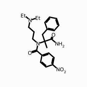 CCN(CC)CCCN(C(=O)c1ccc([N+](=O)[O-])cc1)C(C)(Cc1ccccc1)C(N)=O